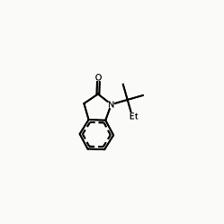 CCC(C)(C)N1C(=O)Cc2ccccc21